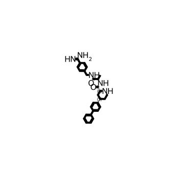 CC(NC(=O)[C@H]1C[C@@H](c2ccc(-c3ccccc3)cc2)CCN1)C(=O)NCc1ccc(C(=N)N)cc1